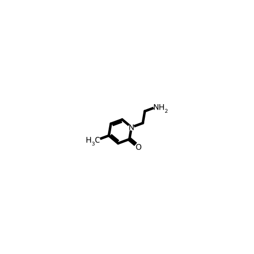 Cc1ccn(CCN)c(=O)c1